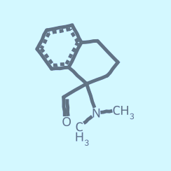 CN(C)C1(C=O)CCCc2ccccc21